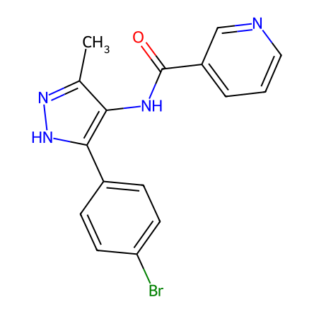 Cc1n[nH]c(-c2ccc(Br)cc2)c1NC(=O)c1cccnc1